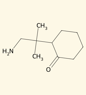 CC(C)(CN)C1CCCCC1=O